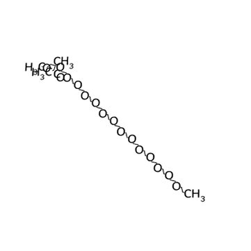 CCCOCCOCCOCCOCCOCCOCCOCCOCCOCCOCCOCCOCCOCCOC(C)(COC)C(C)=C=O